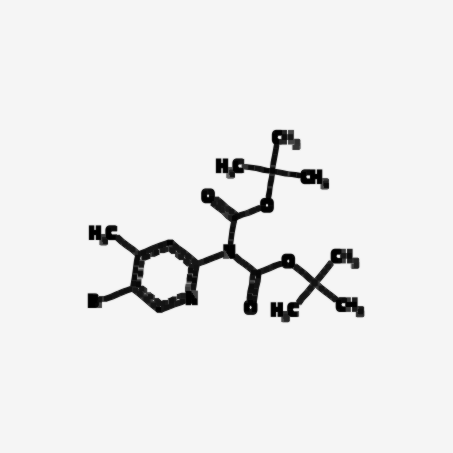 Cc1cc(N(C(=O)OC(C)(C)C)C(=O)OC(C)(C)C)ncc1Br